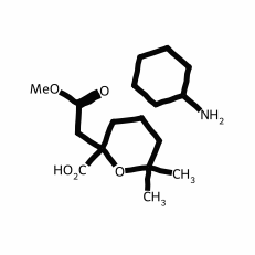 COC(=O)CC1(C(=O)O)CCCC(C)(C)O1.NC1CCCCC1